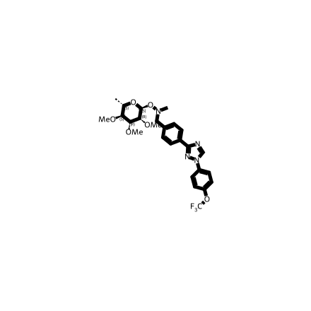 CO[C@@H]1[C@@H](OC)[C@H](C)O[C@@H](ON(C)Cc2ccc(-c3ncn(-c4ccc(OC(F)(F)F)cc4)n3)cc2)[C@@H]1OC